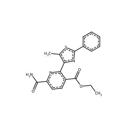 CCOC(=O)c1ccc(C(N)=O)nc1-c1nc(-c2ccccc2)sc1C